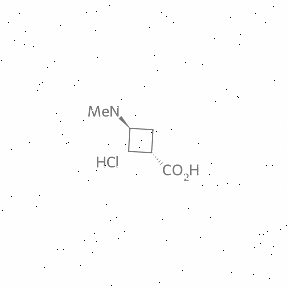 CN[C@H]1C[C@H](C(=O)O)C1.Cl